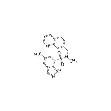 Cc1cc(S(=O)(=O)N(C)Cc2ccc3cccnc3c2)c2[nH]ncc2c1